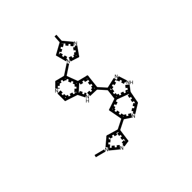 Cc1cn(-c2cncc3[nH]c(-c4n[nH]c5cnc(-c6cnn(C)c6)cc45)cc23)cn1